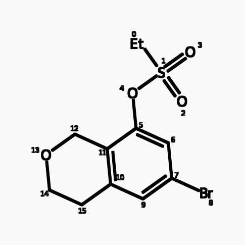 CCS(=O)(=O)Oc1cc(Br)cc2c1COCC2